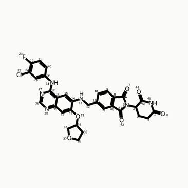 O=C1CCC(N2C(=O)c3ccc(CNc4cc5c(Nc6ccc(F)c(Cl)c6)ncnc5cc4OC4CCOC4)cc3C2=O)C(=O)N1